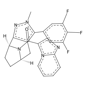 Cn1nc2c(c1-c1cc(F)c(F)c(F)c1)C[C@H]1CC[C@@H]2N1C(=O)c1cnc2ccccn12